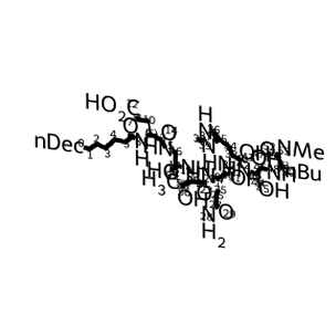 CCCCCCCCCCCCCCCC(=O)N[C@@H](CCC(=O)O)C(=O)NCC(O)N[C@H](C(=O)N[C@@H](CCC(N)=O)C(O)NC(Cc1c[nH]cn1)C(O)N[C@@H](CO)C(O)N[C@@H](CCCC)C(=O)NC)[C@H](C)O